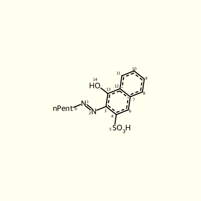 CCCCCN=Nc1c(S(=O)(=O)O)cc2ccccc2c1O